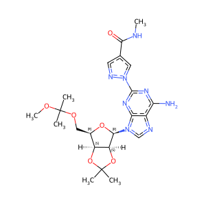 CNC(=O)c1cnn(-c2nc(N)c3ncn([C@@H]4O[C@H](COC(C)(C)OC)[C@@H]5OC(C)(C)O[C@@H]54)c3n2)c1